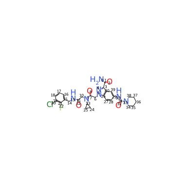 NC(=O)c1nn(CC(=O)N(CC(=O)NCc2cccc(Cl)c2F)C2CC2)c2ccc(NC(=O)N3CCCCC3)cc12